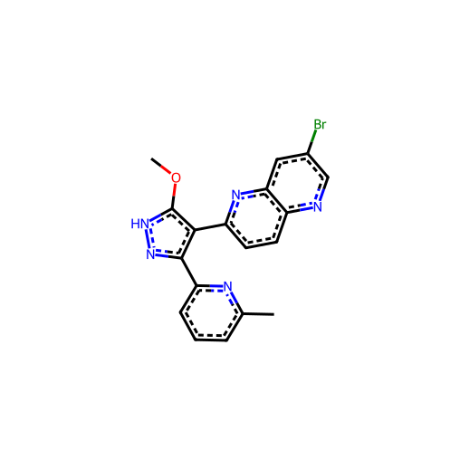 COc1[nH]nc(-c2cccc(C)n2)c1-c1ccc2ncc(Br)cc2n1